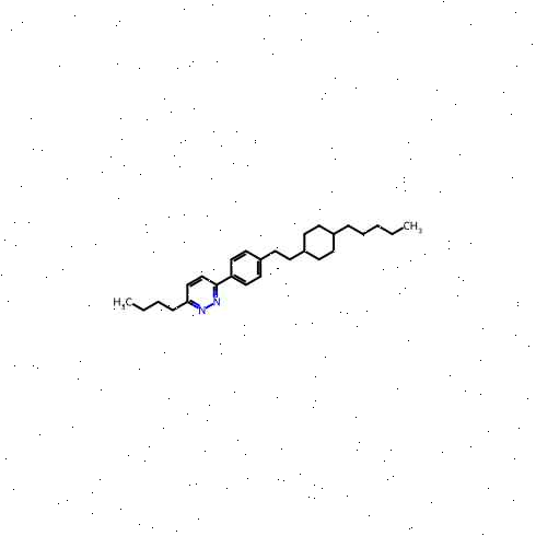 CCCCCC1CCC(CCc2ccc(-c3ccc(CCCC)nn3)cc2)CC1